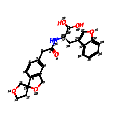 O=C(Cc1ccc2c(c1)COC21CCOC1)N[C@@H](Cc1coc2ccccc12)B(O)O